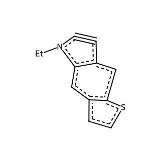 CCn1c#cc2cc3sccc3cc21